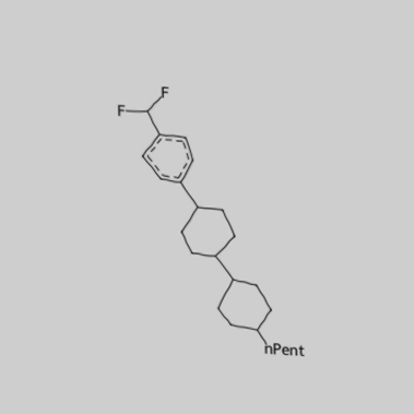 CCCCCC1CCC(C2CCC(c3ccc(C(F)F)cc3)CC2)CC1